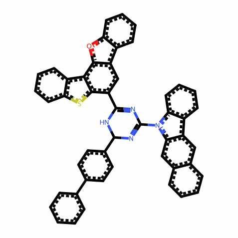 c1ccc(-c2ccc(C3N=C(n4c5ccccc5c5cc6ccccc6cc54)N=C(c4cc5c6ccccc6oc5c5c4sc4ccccc45)N3)cc2)cc1